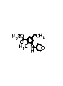 CCc1cc(NC2CCOCC2)c(C)c(C(=O)OC)c1